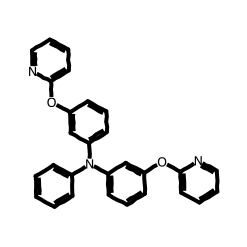 c1ccc(N(c2cccc(Oc3ccccn3)c2)c2cccc(Oc3ccccn3)c2)cc1